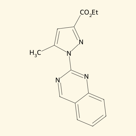 CCOC(=O)c1cc(C)n(-c2ncc3ccccc3n2)n1